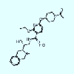 CCOc1nc(OC2CCN(C(C)=O)CC2)ccc1C(=O)NC[C@@H](O)[C@@H]1Cc2ccccc2CN1.Cl